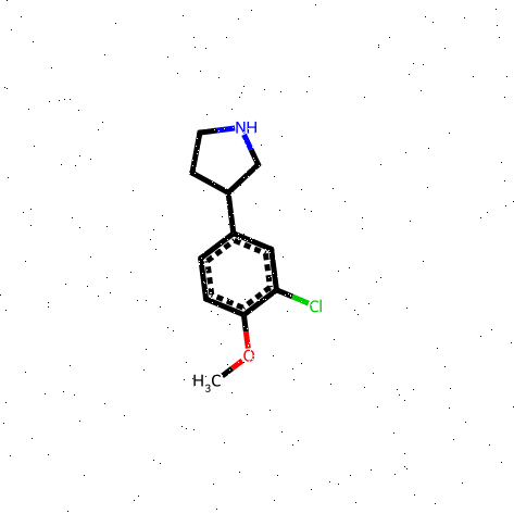 COc1ccc([C]2CCNC2)cc1Cl